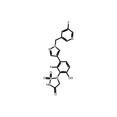 O=C1CN(c2c(O)ccc(-c3cnn(Cc4cncc(F)c4)c3)c2F)S(=O)(=O)N1